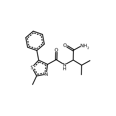 Cc1nc(C(=O)NC(C(N)=O)C(C)C)c(-c2ccccc2)s1